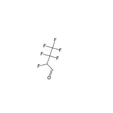 O=[C]C(F)C(F)(F)C(F)(F)F